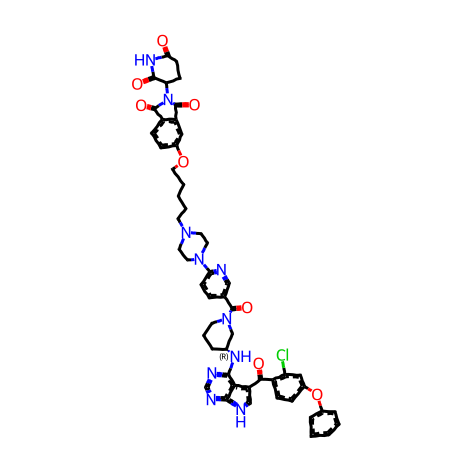 O=C1CCC(N2C(=O)c3ccc(OCCCCCN4CCN(c5ccc(C(=O)N6CCC[C@@H](Nc7ncnc8[nH]cc(C(=O)c9ccc(Oc%10ccccc%10)cc9Cl)c78)C6)cn5)CC4)cc3C2=O)C(=O)N1